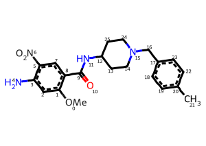 COc1cc(N)c([N+](=O)[O-])cc1C(=O)NC1CCN(Cc2ccc(C)cc2)CC1